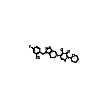 N#Cc1cc(F)ccc1Cn1nnc2c1CCN(c1cnn(C3CCCCO3)c(=O)c1Cl)C2